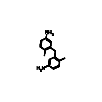 Cc1ccc(N)cc1Cc1cc(N)ccc1C